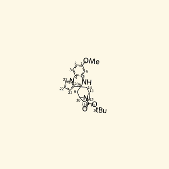 COc1ccc2c(c1)NC1(CC3CCC(C1)N3C(=O)OC(C)(C)C)c1cccn1-2